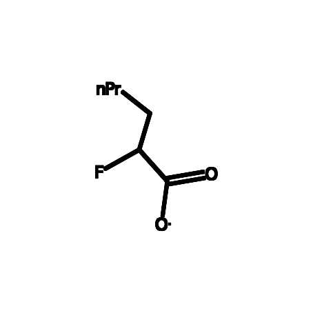 CCCCC(F)C([O])=O